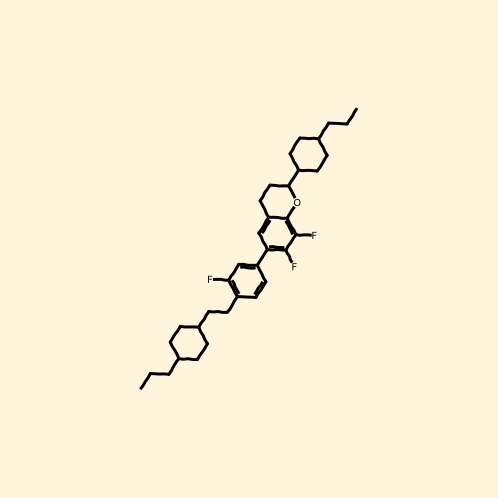 CCCC1CCC(CCc2ccc(-c3cc4c(c(F)c3F)OC(C3CCC(CCC)CC3)CC4)cc2F)CC1